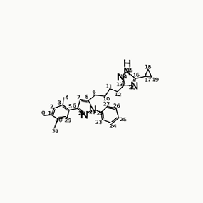 Cc1cc(C)c(-c2cc(CCCCc3n[nH]c(C4CC4)n3)n(-c3ccccc3)n2)cc1C